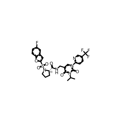 CC(C)n1c(=O)c(CNC(=O)[C@@H]2CCCN2S(=O)(=O)c2cc3cc(F)ccc3o2)cn(-c2ccc(C(F)(F)F)cn2)c1=O